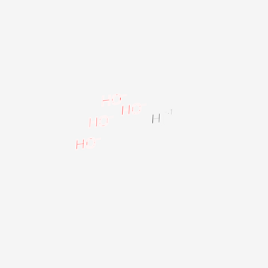 [Hf+4].[OH-].[OH-].[OH-].[OH-]